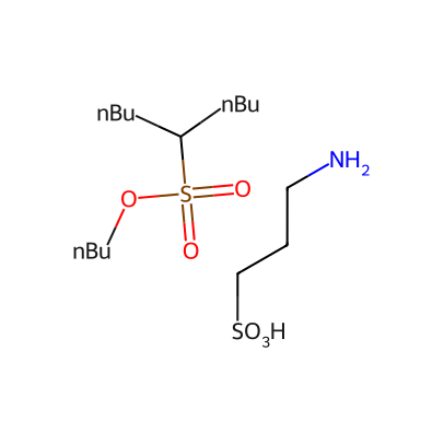 CCCCOS(=O)(=O)C(CCCC)CCCC.NCCCS(=O)(=O)O